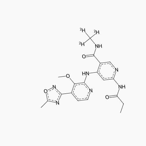 [2H]C([2H])([2H])NC(=O)c1cnc(NC(=O)CC)cc1Nc1nccc(-c2noc(C)n2)c1OC